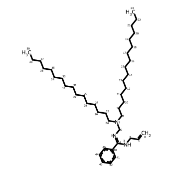 C=CCNC(=NCN(CCCCCCCCCCCCCCCC)CCCCCCCCCCCCCCCC)c1ccccc1